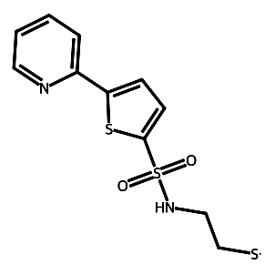 O=S(=O)(NCC[S])c1ccc(-c2ccccn2)s1